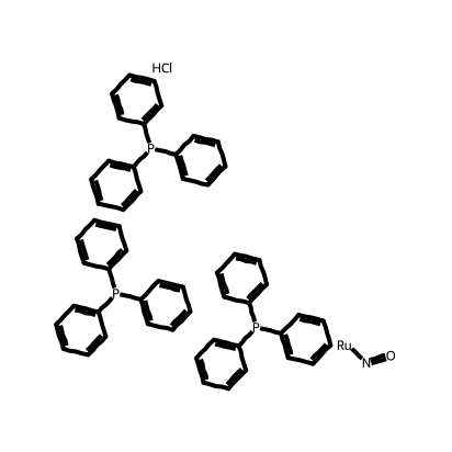 Cl.O=[N][Ru].c1ccc(P(c2ccccc2)c2ccccc2)cc1.c1ccc(P(c2ccccc2)c2ccccc2)cc1.c1ccc(P(c2ccccc2)c2ccccc2)cc1